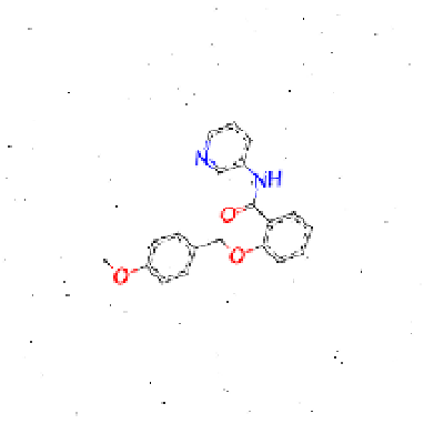 COc1ccc(COc2ccccc2C(=O)Nc2cccnc2)cc1